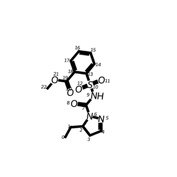 CCC1CC=NN1C(=O)NS(=O)(=O)c1ccccc1C(=O)OC